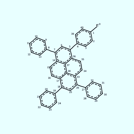 Fc1ccc(-c2cc(-c3ccccc3)c3ccc4c(-c5ccccc5)cc(-c5ccccc5)c5ccc2c3c45)cc1